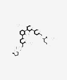 COC(=O)C(CCO)NCc1ccc(-c2ncc(OC)c(-c3cccc(-c4ccc(CNC[C@@H]5CCC(=O)N5)c(OC)n4)c3Cl)c2Cl)cn1